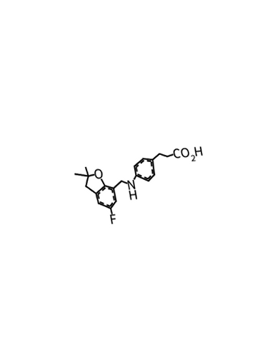 CC1(C)Cc2cc(F)cc(CNc3ccc(CCC(=O)O)cc3)c2O1